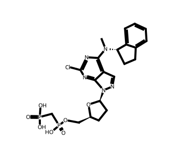 CN(c1nc(Cl)nc2c1cnn2[C@H]1CC[C@@H](COP(=O)(O)CP(=O)(O)O)O1)[C@H]1CCc2ccccc21